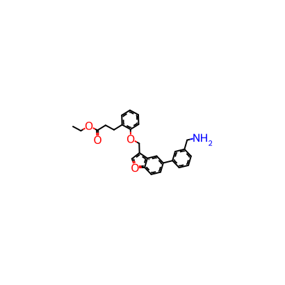 CCOC(=O)CCc1ccccc1OCc1coc2ccc(-c3cccc(CN)c3)cc12